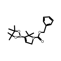 CC1(C)C(B2OC(C)(C)C(C)(C)O2)=CCN1C(=O)OCc1ccccc1